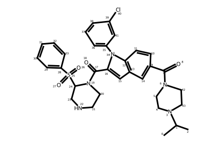 CC(C)N1CCN(C(=O)c2ccc3c(c2)cc(C(=O)N2CCNCC2S(=O)(=O)c2ccccc2)n3-c2cccc(Cl)c2)CC1